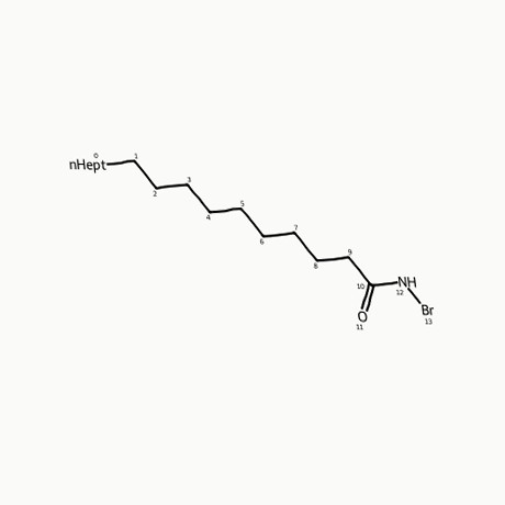 CCCCCCCCCCCCCCCCC(=O)NBr